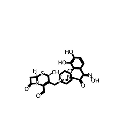 C[C@@H]1S[C@@H]2CC(=O)N2C(C=O)=C1C[N+]12CCC(CC1)N(C(=O)/C(=N\O)c1ccc(O)c(O)c1Cl)CC2